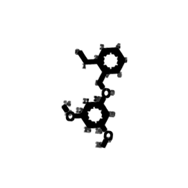 CCc1ccccc1COc1cc(OC)cc(OC)c1